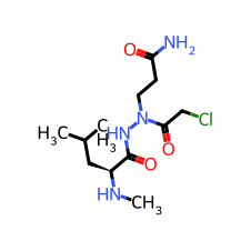 CN[C@@H](CC(C)C)C(=O)NN(CCC(N)=O)C(=O)CCl